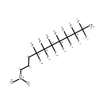 FC(F)(F)C(F)(F)C(F)(F)C(F)(F)C(F)(F)C(F)(F)C(F)(F)C(F)(F)CCC[SiH](Cl)Cl